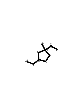 [CH2]CC1C[CH]C(C)(OC)C1